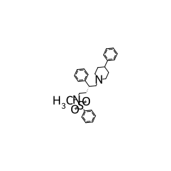 CN(CC[C@@H](CN1CCC(c2ccccc2)CC1)c1ccccc1)S(=O)(=O)c1ccccc1